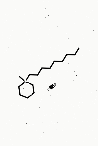 CCCCCCCCC[N+]1(C)CCCCC1.[C-]#N